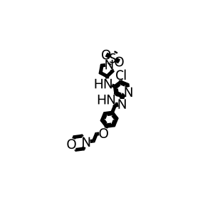 CS(=O)(=O)N1CCC(Nc2c(Cl)cnc3nc(-c4ccc(OCCN5CCOCC5)cc4)[nH]c23)C1